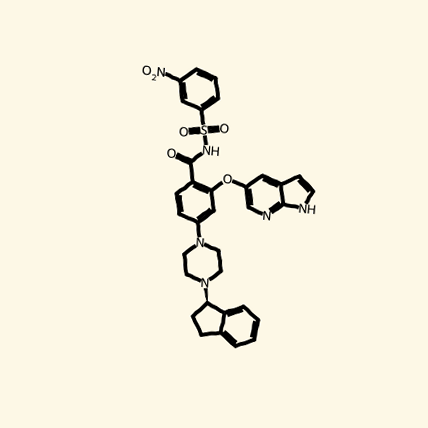 O=C(NS(=O)(=O)c1cccc([N+](=O)[O-])c1)c1ccc(N2CCN([C@@H]3CCc4ccccc43)CC2)cc1Oc1cnc2[nH]ccc2c1